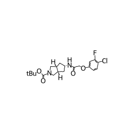 CC(C)(C)OC(=O)N1C[C@H]2C[C@@H](NC(=O)COc3ccc(Cl)c(F)c3)C[C@H]2C1